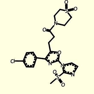 CS(=O)(=O)c1nccn1-c1nc(-c2ccc(Cl)cc2)c(CCC(=O)N2CCS(=O)(=O)CC2)o1